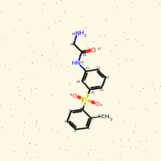 Cc1ccccc1S(=O)(=O)c1cccc(NC(=O)CN)c1